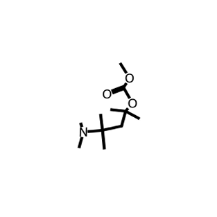 COC(=O)OC(C)(C)CC(C)(C)N(C)C